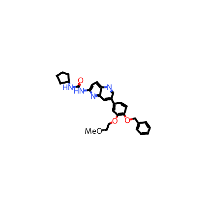 COCCOc1cc(-c2cnc3ccc(NC(=O)NC4CCCC4)nc3c2)ccc1OCc1ccccc1